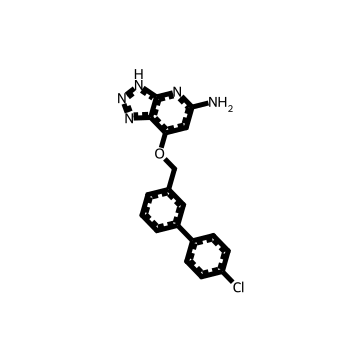 Nc1cc(OCc2cccc(-c3ccc(Cl)cc3)c2)c2nn[nH]c2n1